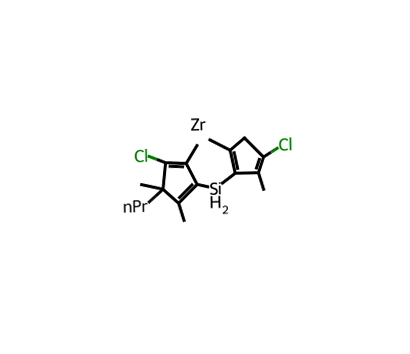 CCCC1(C)C(C)=C([SiH2]C2=C(C)CC(Cl)=C2C)C(C)=C1Cl.[Zr]